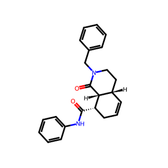 O=C(Nc1ccccc1)[C@H]1CC=C[C@H]2CCN(Cc3ccccc3)C(=O)[C@@H]12